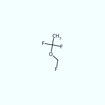 CC(F)(F)OCF